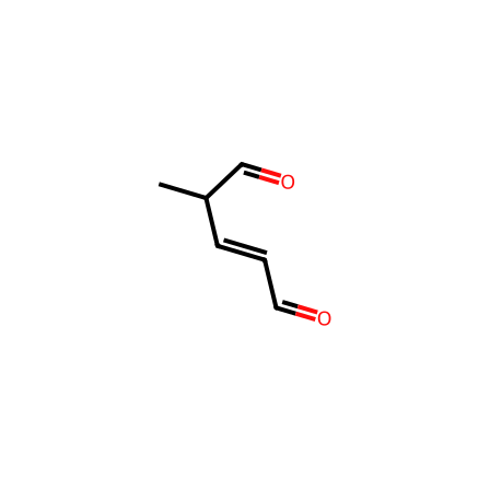 CC(C=O)C=CC=O